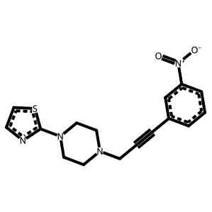 O=[N+]([O-])c1cccc(C#CCN2CCN(c3nccs3)CC2)c1